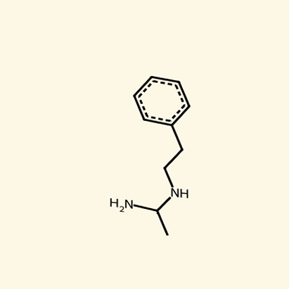 C[C](N)NCCc1ccccc1